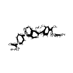 Cc1cc(C(=O)NC(C)C)ccc1-c1cc2nnn(C3CCN(C(=O)OC(C)C)CC3)c2cn1